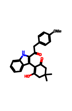 COc1ccc(CC(=O)c2[nH]c3ccccc3c2C2=C(O)CC(C)(C)CC2=O)cc1